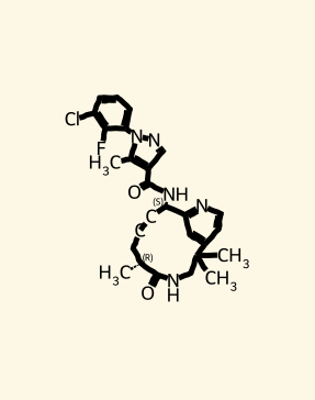 Cc1c(C(=O)N[C@H]2CCC[C@@H](C)C(=O)NCC(C)(C)c3ccnc2c3)cnn1-c1cccc(Cl)c1F